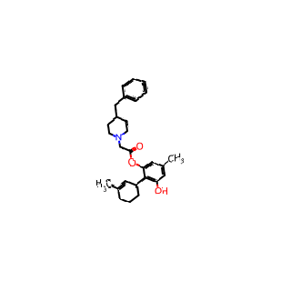 CC1=CC(c2c(O)cc(C)cc2OC(=O)CN2CCC(Cc3ccccc3)CC2)CCC1